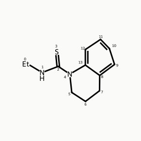 CCNC(=S)N1CCCc2ccccc21